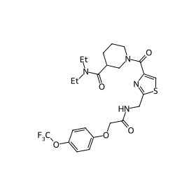 CCN(CC)C(=O)C1CCCN(C(=O)c2csc(CNC(=O)COc3ccc(OC(F)(F)F)cc3)n2)C1